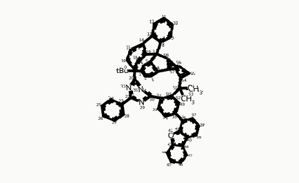 CC(C)(C)c1ccc2c(c1)C13c4ccccc4-c4ccc(cc41)-c1nc(-c4ccccc4)nc(n1)-c1ccc(-c4cccc5c4oc4ccccc45)cc1C(C)(C)c1ccc-2c3c1